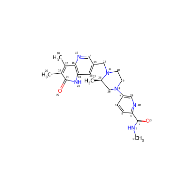 CNC(=O)c1ccc(N2CCN(Cc3cnc4c(C)c(C)c(=O)[nH]c4c3)[C@H](C)C2)cn1